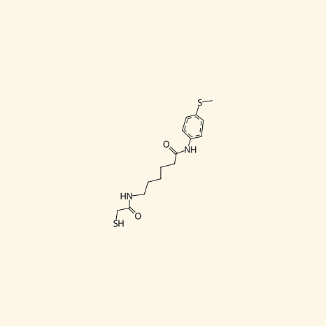 CSc1ccc(NC(=O)CCCCCNC(=O)CS)cc1